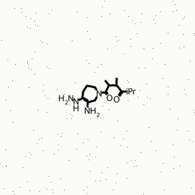 CC(C)C(=O)C(C)C(C)C(=O)N1CCCC(NN)=C(N)C1